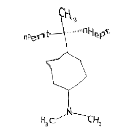 CCCCCCC[C@@](C)(CCCCC)C1CCC(N(C)C)CC1